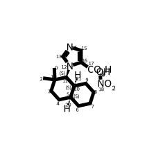 CC1(C)CC[C@@H]2CCCC[C@@H]2[C@@H]1n1cncc1C(=O)O.O=[N+]([O-])O